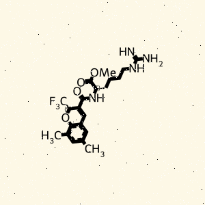 COC(=O)[C@H](CCCCNC(=N)N)NC(=O)C1=Cc2cc(C)cc(C)c2O[C@@H]1C(F)(F)F